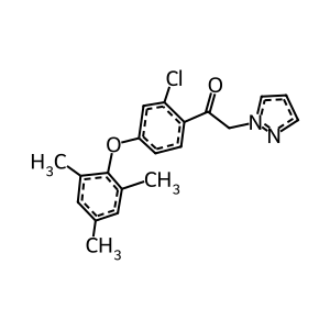 Cc1cc(C)c(Oc2ccc(C(=O)Cn3cccn3)c(Cl)c2)c(C)c1